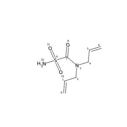 C=CCN(CC=C)C(=O)S(N)(=O)=O